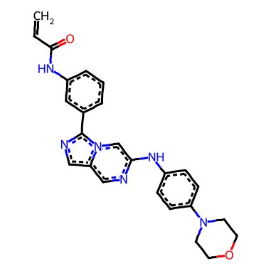 C=CC(=O)Nc1cccc(-c2ncc3cnc(Nc4ccc(N5CCOCC5)cc4)cn23)c1